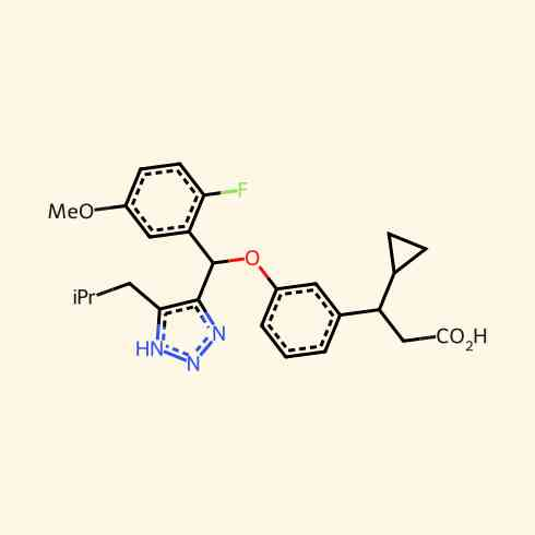 COc1ccc(F)c(C(Oc2cccc(C(CC(=O)O)C3CC3)c2)c2nn[nH]c2CC(C)C)c1